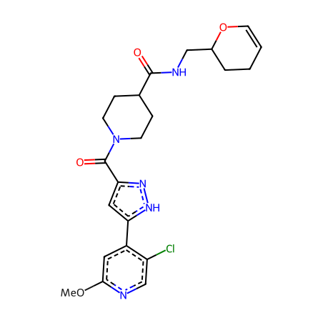 COc1cc(-c2cc(C(=O)N3CCC(C(=O)NCC4CCC=CO4)CC3)n[nH]2)c(Cl)cn1